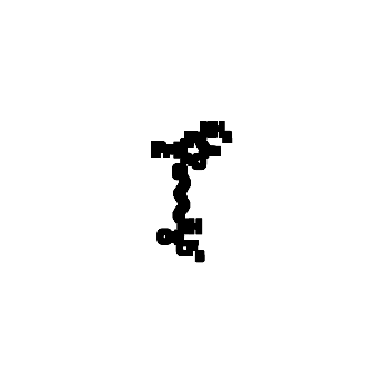 CC(CN)OP(OCCCCNC(=O)C(F)(F)F)N(C(C)C)C(C)C